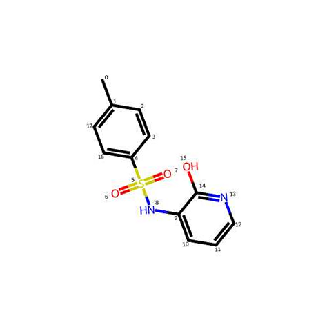 Cc1ccc(S(=O)(=O)Nc2cccnc2O)cc1